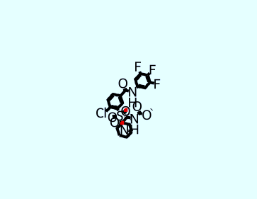 COC(=O)N[C@@H](C)C(=O)N1C2CC1CC(S(=O)(=O)c1cc(C(=O)Nc3cc(F)c(F)c(F)c3)ccc1Cl)C2